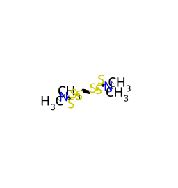 CN(C)C(=S)SSCCSSC(=S)N(C)C